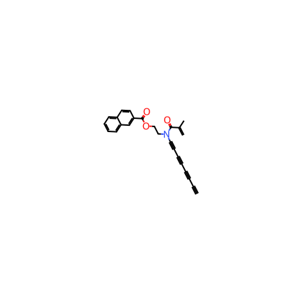 C#CC#CC#CC#CN(CCOC(=O)c1ccc2ccccc2c1)C(=O)C(=C)C